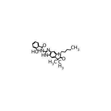 CCCCCN1C(=O)C(C)(C)c2cc3[nH]c(NC(=O)c4ccccc4O)nc3cc21